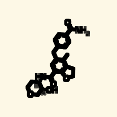 Cc1c(Cc2ccc(C(N)=O)cc2)cc(C(=O)N[C@H]2CCOC[C@@H]2O)c2c1CCO2